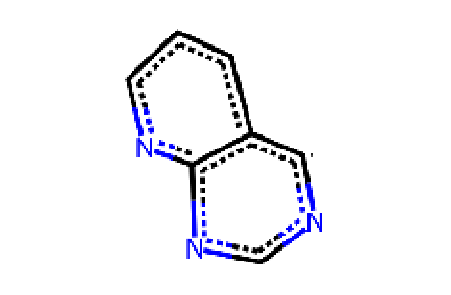 [c]1ncnc2ncccc12